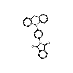 O=C1c2ccccc2C(=O)N1c1ccc(N2c3ccccc3Cc3ccccc32)cc1